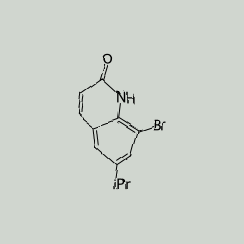 CC(C)c1cc(Br)c2[nH]c(=O)ccc2c1